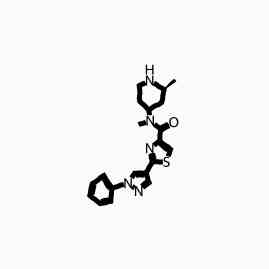 C[C@H]1CC(N(C)C(=O)c2csc(-c3cnn(-c4ccccc4)c3)n2)CCN1